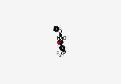 O=c1n(CCOc2ccccc2)nc2ccc(-c3ccc(OC(F)(F)F)cc3)cn12